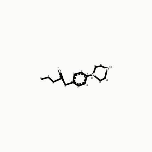 CCCC(=O)Cc1ccc(N2CCOCC2)cc1